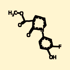 COC(=O)c1cccn(-c2ccc(O)c(F)c2)c1=O